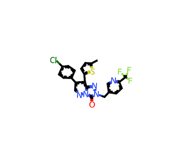 Cc1ccc(-c2c(-c3ccc(Cl)cc3)cnn3c(=O)n(Cc4ccc(C(F)(F)F)nc4)nc23)s1